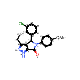 COc1ccc(N2C(=O)c3[nH]nc(CC(C)C)c3C2c2cccc(Cl)c2)cc1